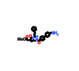 COC(=O)C[C@@H]1C[C@@H](CNC(=O)c2ccc(C3CCC(CN)CC3)cc2)N(CCCc2ccccc2)C1=O